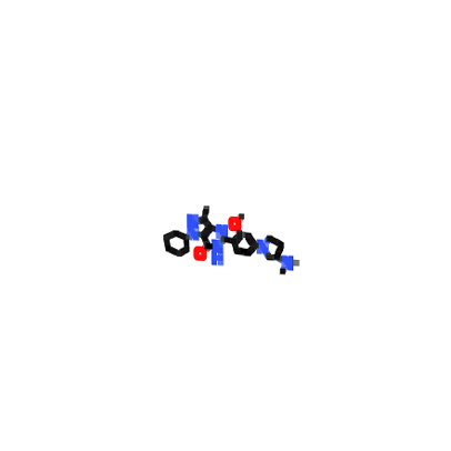 COc1cc(N2CC[C@@H](N(C)C)C2)ccc1-c1nc2c(C)nn(C3CCCCC3)c2c(=O)[nH]1